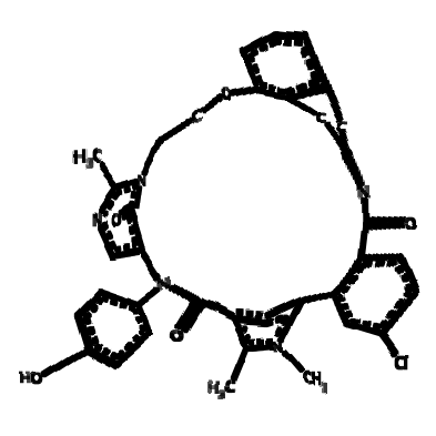 Cc1c2cc(n1C)-c1cc(Cl)ccc1C(=O)N1CCc3c(cccc3OCCn3c(C)ncc(c3=O)N(c3ccc(O)cc3)C2=O)C1